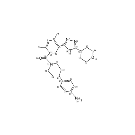 Cc1cc(C)c(-c2nnc(C3CCOCC3)[nH]2)cc1C(=O)N1CCC(c2ccc(N)cc2)CC1